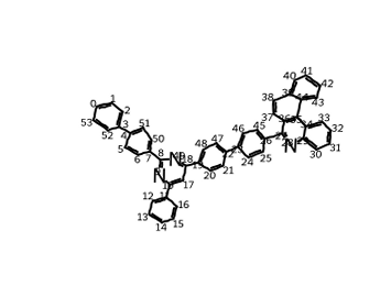 c1ccc(-c2ccc(-c3nc(-c4ccccc4)cc(-c4ccc(-c5ccc(-c6nc7ccccc7c7c6ccc6ccccc67)cc5)cc4)n3)cc2)cc1